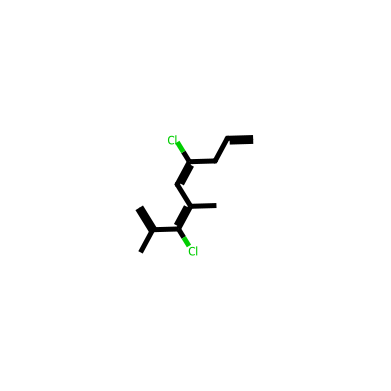 C=CC/C(Cl)=C\C(C)=C(\Cl)C(=C)C